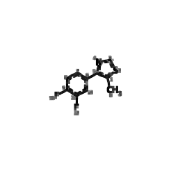 Cc1s[c]nc1-c1ccc(F)c(F)c1